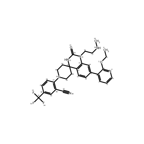 CCOc1ncccc1-c1ccc2c(c1)N(CCNC)C(=O)NC21CCN(c2ccc(C(F)(F)F)cc2C#N)CC1